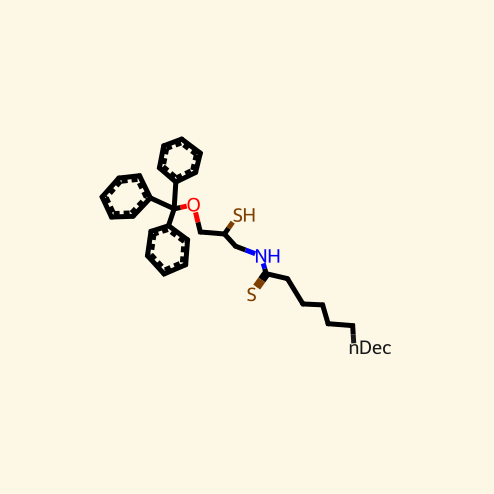 CCCCCCCCCCCCCCCC(=S)NCC(S)COC(c1ccccc1)(c1ccccc1)c1ccccc1